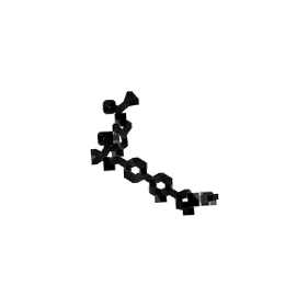 CC(C)n1cc(-c2ccc(-c3ccc(C4=NC5(CC5)C(O)N4CC4CN(C(=O)C5CC5)C4)cc3)cn2)cn1